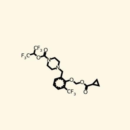 O=C(OCOc1c(CN2CCN(C(=O)OC(C(F)(F)F)C(F)(F)F)CC2)cccc1C(F)(F)F)C1CC1